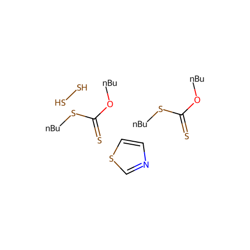 CCCCOC(=S)SCCCC.CCCCOC(=S)SCCCC.SS.c1cscn1